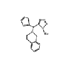 CC(C)(C)n1nnnc1C(C1=CC=CC1)N1CCc2ccccc2C1